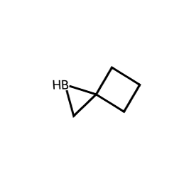 B1CC12CCC2